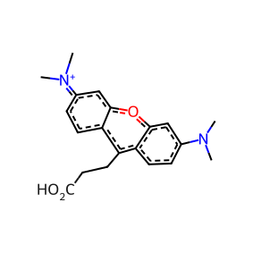 CN(C)c1ccc2c(CCC(=O)O)c3ccc(=[N+](C)C)cc-3oc2c1